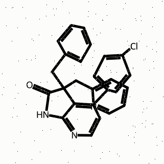 O=C1Nc2nccc(-c3ccc(Cl)cc3)c2C1(Cc1ccccc1)Cc1ccccn1